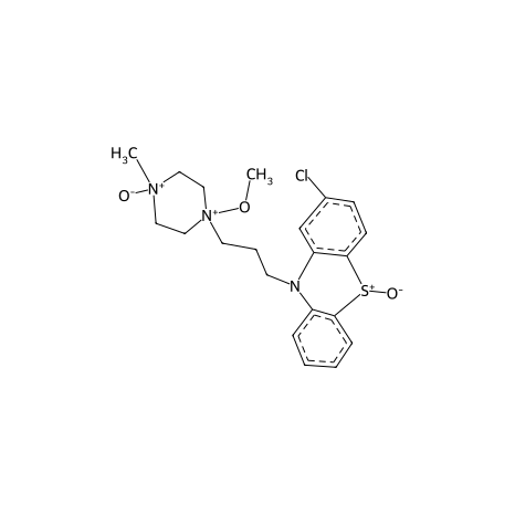 CO[N+]1(CCCN2c3ccccc3[S+]([O-])c3ccc(Cl)cc32)CC[N+](C)([O-])CC1